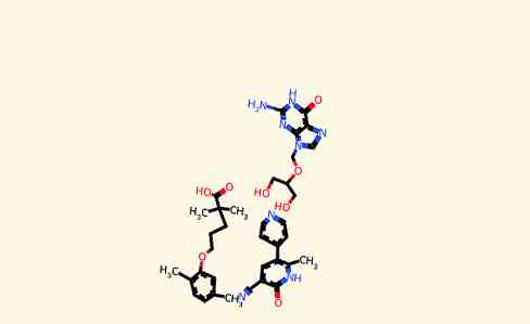 Cc1[nH]c(=O)c(C#N)cc1-c1ccncc1.Cc1ccc(C)c(OCCCC(C)(C)C(=O)O)c1.Nc1nc2c(ncn2COC(CO)CO)c(=O)[nH]1